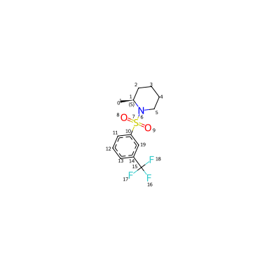 [CH2][C@H]1CCCCN1S(=O)(=O)c1cccc(C(F)(F)F)c1